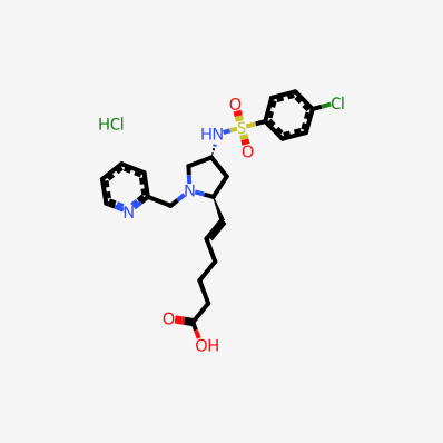 Cl.O=C(O)CCCC=C[C@@H]1C[C@@H](NS(=O)(=O)c2ccc(Cl)cc2)CN1Cc1ccccn1